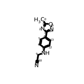 Cc1nc(-c2ccc(NCC#N)cc2)no1